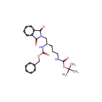 CC(C)(C)OC(=O)NCCC[C@H](CN1C(=O)c2ccccc2C1=O)NC(=O)OCc1ccccc1